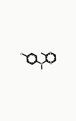 Cc1nccnc1N(C)c1ccc(Cl)cc1